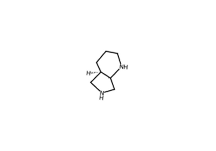 C1CN[C]2CNC[C@H]2C1